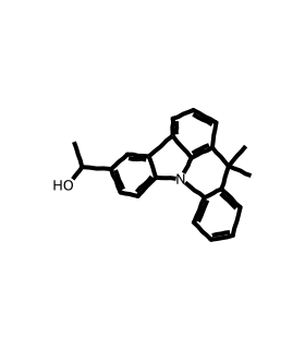 CC(O)c1ccc2c(c1)c1cccc3c1n2-c1ccccc1C3(C)C